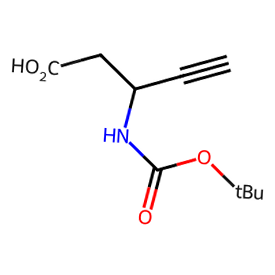 C#CC(CC(=O)O)NC(=O)OC(C)(C)C